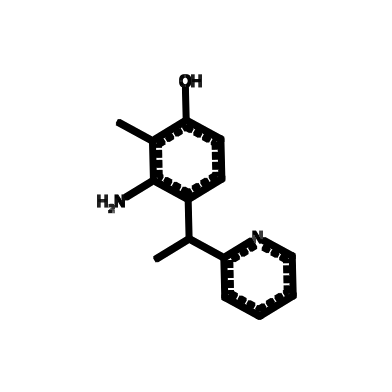 Cc1c(O)ccc(C(C)c2ccccn2)c1N